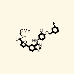 COCNC(=O)c1ccc(-c2ccc3ncnc(Nc4ccc(OCc5cccc(F)c5)c(Cl)c4)c3c2)o1